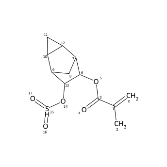 C=C(C)C(=O)OC1C2CC(C3CC32)C1O[SH](=O)=O